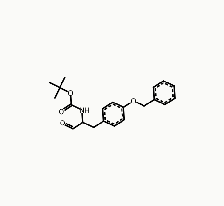 CC(C)(C)OC(=O)NC(C=O)Cc1ccc(OCc2ccccc2)cc1